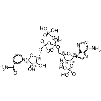 NC(=O)c1ccc[n+]([C@@H]2O[C@H](COP(=O)([O-])OP(=O)(O)OC[C@H]3O[C@@H](n4cnc5c(N)ncnc54)[C@H](OP(=O)(O)O)[C@@H]3O)[C@@H](O)[C@H]2O)c1.O=P(O)(O)O